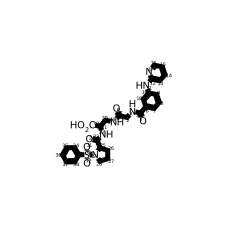 O=C(CNC(=O)c1cccc(Nc2ccccn2)c1)NCC(NC(=O)C1CCCN1S(=O)(=O)c1ccccc1)C(=O)O